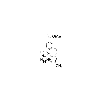 CCCC1(c2nnn[nH]2)c2ccc(C)cc2CCc2cc(C(=O)OC)ccc21